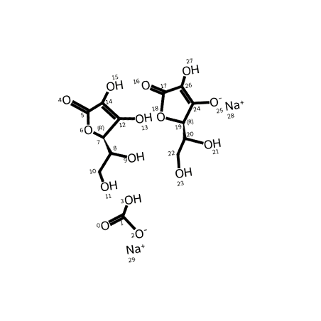 O=C([O-])O.O=C1O[C@H](C(O)CO)C(O)=C1O.O=C1O[C@H](C(O)CO)C([O-])=C1O.[Na+].[Na+]